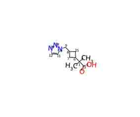 CC(C)(C(=O)O)C1CC(Cn2ccnn2)C1